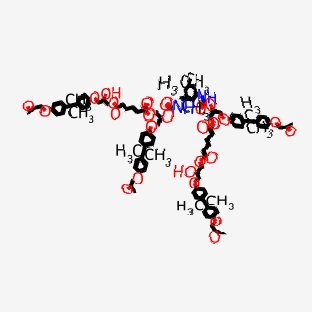 CC1(C)CC(NC(=O)OC(COC(=O)CCCCC(=O)OCC(O)COc2ccc(C(C)(C)c3ccc(OCC4CO4)cc3)cc2)COc2ccc(C(C)(C)c3ccc(OCC4CO4)cc3)cc2)CC(C)(CNC(=O)OC(COC(=O)CCCCC(=O)OCC(O)COc2ccc(C(C)(C)c3ccc(OCC4CO4)cc3)cc2)COc2ccc(C(C)(C)c3ccc(OCC4CO4)cc3)cc2)C1